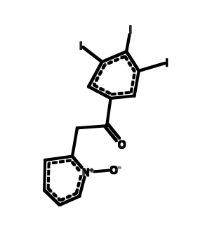 O=C(Cc1cccc[n+]1[O-])c1cc(I)c(I)c(I)c1